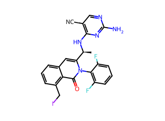 C[C@H](Nc1nc(N)ncc1C#N)c1cc2cccc(CI)c2c(=O)n1-c1c(F)cccc1F